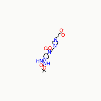 COC(=O)CCCN1CCN(CC2CN(C3CCN(C(=N)NC(=O)OC(C)(C)C)CC3)C(=O)O2)CC1